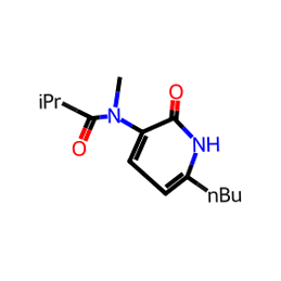 CCCCc1ccc(N(C)C(=O)C(C)C)c(=O)[nH]1